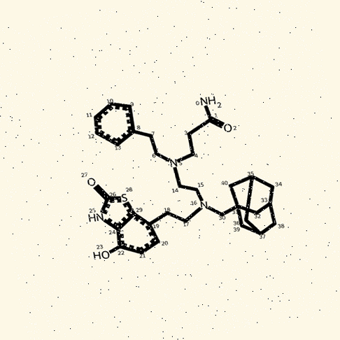 NC(=O)CCN(CCc1ccccc1)CCN(CCc1ccc(O)c2[nH]c(=O)sc12)CC12CC3CC(CC(C3)C1)C2